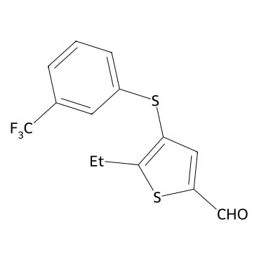 CCc1sc(C=O)cc1Sc1cccc(C(F)(F)F)c1